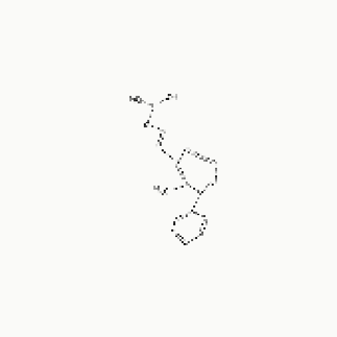 Cc1c(C=COB(O)O)cccc1-c1ccccc1